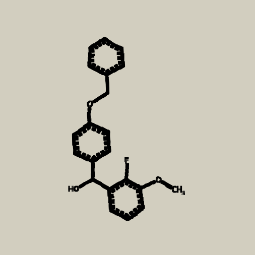 COc1cccc(C(O)c2ccc(OCc3ccccc3)cc2)c1F